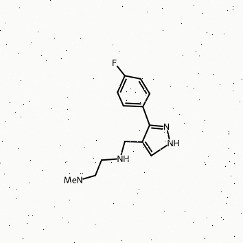 CNCCNCc1c[nH]nc1-c1ccc(F)cc1